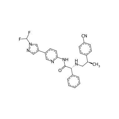 C[C@@H](CN[C@@H](C(=O)Nc1ccc(-c2cnn(C(F)F)c2)cn1)c1ccccc1)c1ccc(C#N)cc1